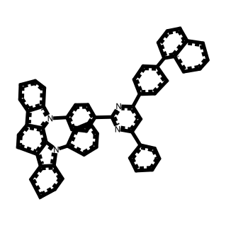 c1ccc(-c2cc(-c3ccc(-c4cccc5ccccc45)cc3)nc(-c3ccc(-n4c5ccccc5c5ccc6c7ccccc7n(-c7ccccc7)c6c54)cc3)n2)cc1